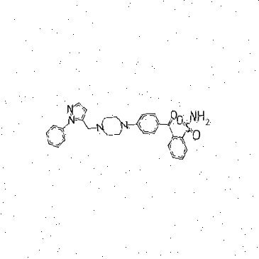 NS(=O)(=O)c1ccccc1C(=O)c1ccc(N2CCN(Cc3ccnn3-c3ccccc3)CC2)cc1